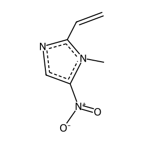 C=Cc1ncc([N+](=O)[O-])n1C